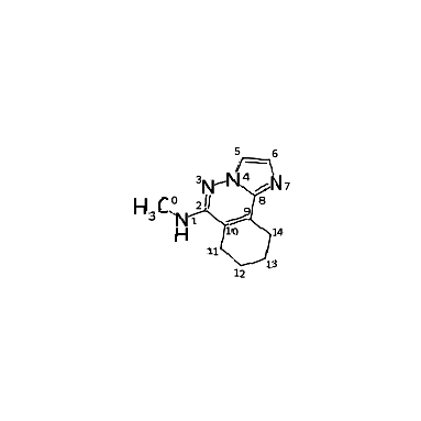 CNc1nn2ccnc2c2c1CCCC2